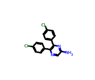 Nc1cnc(-c2ccc(Cl)cc2)c(-c2ccc(Cl)cc2)n1